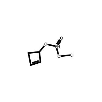 O=[PH](OCl)OC1C=CC1